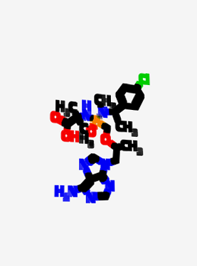 CC(Cn1cnc2c(N)ncnc21)OCP(=O)(NC(C)(C)C(=O)O)N(C)C(C)c1ccc(Cl)cc1